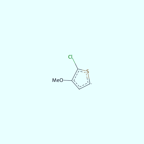 COc1c[c]sc1Cl